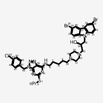 CCCSc1nc(NCCCCCN2CCN(CC(O)Cn3c4ccc(Br)cc4c4cc(Br)ccc43)CC2)c2nnn(Cc3ccc(Cl)cc3)c2n1